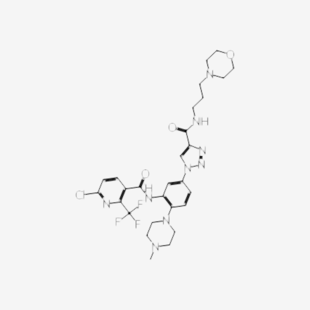 CN1CCN(c2ccc(-n3cc(C(=O)NCCCN4CCOCC4)nn3)cc2NC(=O)c2ccc(Cl)nc2C(F)(F)F)CC1